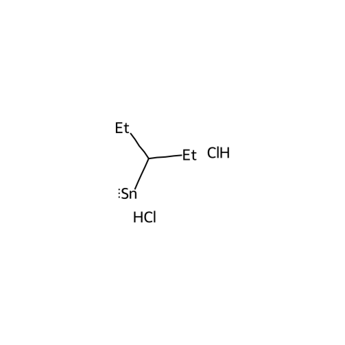 CC[CH]([Sn])CC.Cl.Cl